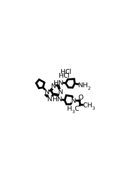 CC(C)C(=O)N1CCC(Nc2nc(NC3CCC(N)CC3)nc3c2ncn3C2CCCC2)CC1.Cl.Cl